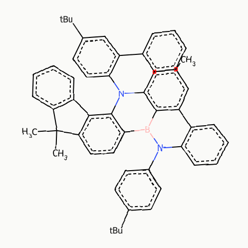 Cc1cc2c3c(c1)N(c1ccc(C(C)(C)C)cc1-c1ccccc1)c1c(ccc4c1-c1ccccc1C4(C)C)B3N(c1ccc(C(C)(C)C)cc1)c1ccccc1-2